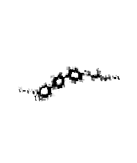 [C-]#[N+]C1(CCCCCCC)CCC(c2ccc(-c3ccc(OCC(F)CCCCCC)cc3)cc2)CC1